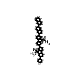 CC1(C(F)(F)F)c2cc(-c3ccccc3)ccc2-c2ccc(-c3ccc4c(c3)C(C)(C(F)(F)F)c3cc(-c5ccc6cc(-c7ccc8ccccc8c7)ccc6c5)ccc3-4)cc21